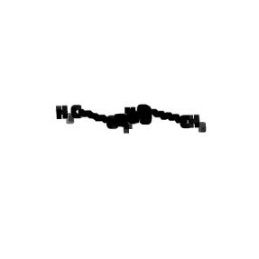 CCCCCCCCCCOc1ccc(-c2ccc([C@H]3OC[C@H](CCCCCCCCCC)CO3)cn2)c(F)c1